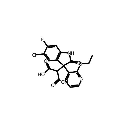 CCOc1ncccc1C1(C(C(=O)O)C(=O)O)C(=O)Nc2cc(F)c(Cl)cc21